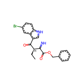 CC[C@H](C(=N)C(=O)OCc1ccccc1)C(=O)c1c[nH]c2ccc(Br)cc12